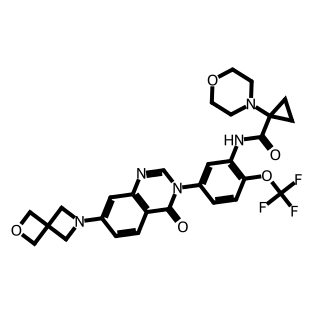 O=C(Nc1cc(-n2cnc3cc(N4CC5(COC5)C4)ccc3c2=O)ccc1OC(F)(F)F)C1(N2CCOCC2)CC1